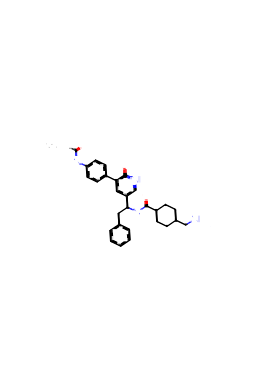 COC(=O)Nc1ccc(-c2cc(C(Cc3ccccc3)NC(=O)C3CCC(CN)CC3)c[nH]c2=O)cc1